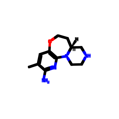 Cc1cc2c(nc1N)N1CCNC[C@@H]1CCO2